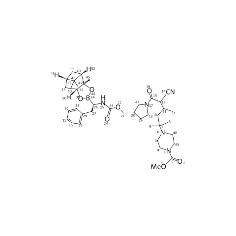 COC(=O)N1CCN(C(C)(C)CC(C)C(C#N)C(=O)N2CC[C@H](COC(=O)N[C@@H](Cc3ccccc3)B3O[C@@H]4C[C@@H]5C[C@@H](C5(C)C)[C@]4(C)O3)C2)CC1